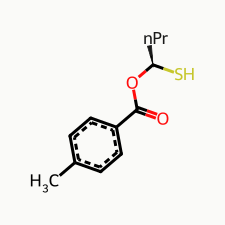 CCC[C@@H](S)OC(=O)c1ccc(C)cc1